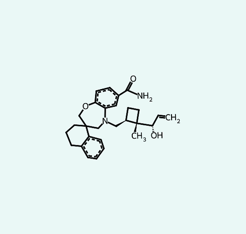 C=C[C@H](O)[C@@]1(C)CC[C@@H]1CN1CC2(CCCc3ccccc32)COc2ccc(C(N)=O)cc21